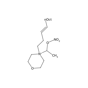 CCCCCCCCC=CCC[N+]1(C(C)O[N+](=O)[O-])CCOCC1